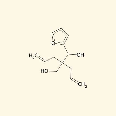 C=CCC(CO)(CC=C)C(O)c1ccco1